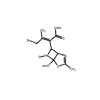 COC(=O)C(=C(C)CBr)C1C2N=C(C)SC2(OC)[NH+]1[O-]